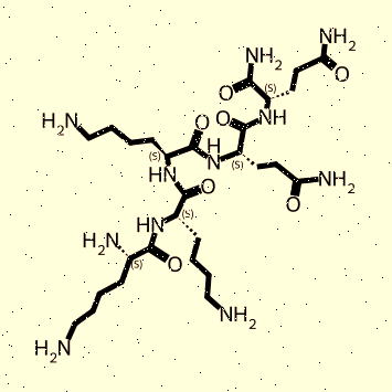 NCCCC[C@H](NC(=O)[C@H](CCCCN)NC(=O)[C@@H](N)CCCCN)C(=O)N[C@@H](CCC(N)=O)C(=O)N[C@@H](CCC(N)=O)C(N)=O